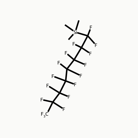 C[Si](C)(C)C(F)(F)C(F)(F)C(F)(F)C(F)(F)C(F)(F)C(F)(F)C(F)(F)C(F)(F)F